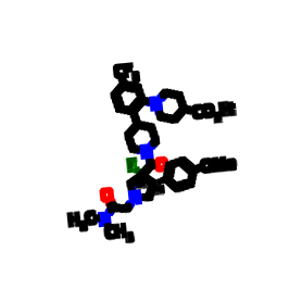 CCOC(=O)C1CCN(c2cc(C(F)(F)F)ccc2C2CCN(C(=O)[C@]3(F)CN(CC(=O)N(C)C)C[C@H]3c3ccc(OC)cc3)CC2)CC1